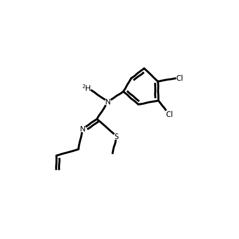 [2H]N(C(=NCC=C)SC)c1ccc(Cl)c(Cl)c1